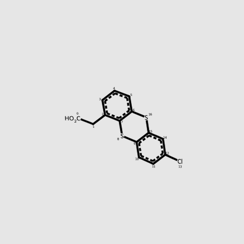 O=C(O)Cc1cccc2c1Sc1ccc(Cl)cc1S2